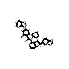 O=C(c1ccc(-n2nnc3cccnc32)cc1F)N(c1nccc2sc(-c3ccc4ncnn4c3)cc12)[C@@H]1CCCNC1